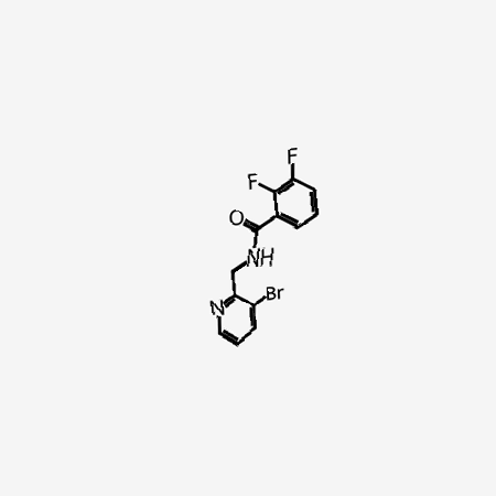 O=C(NCc1ncccc1Br)c1cccc(F)c1F